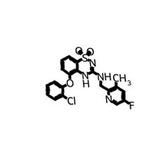 Cc1cc(F)cnc1CNC1=NS(=O)(=O)c2cccc(Oc3ccccc3Cl)c2N1